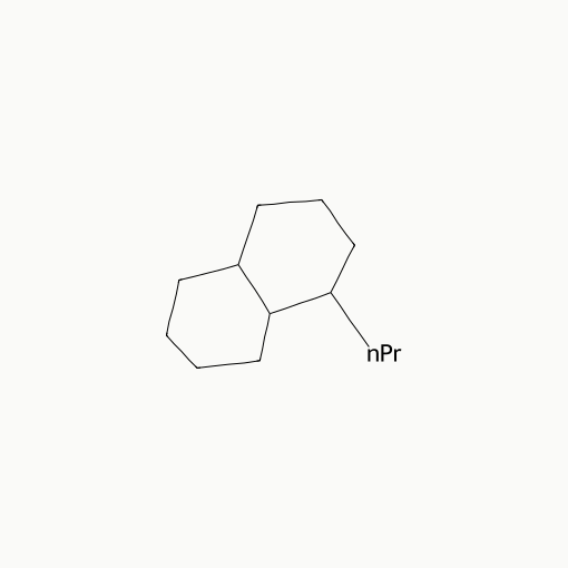 [CH2]CCC1CCCC2CCCCC12